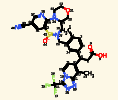 Cc1ccc(C(CC(=O)O)c2ccn3c(C(F)(F)F)nnc3c2C)cc1CN1CC2COCCN2c2ncc(C#N)cc2[S+]1[O-]